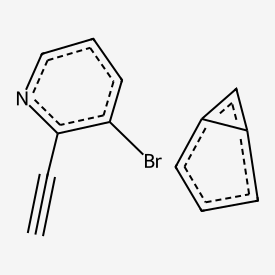 C#Cc1ncccc1Br.c1cc2cc-2c1